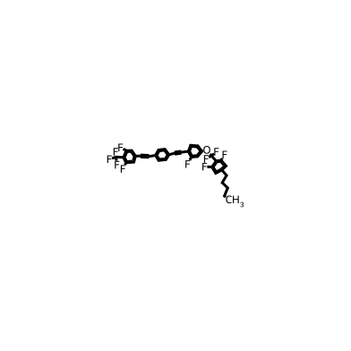 CCCCCc1cc(F)c(C(F)(F)Oc2ccc(C#Cc3ccc(C#Cc4cc(F)c(C(F)(F)F)c(F)c4)cc3)c(F)c2)c(F)c1